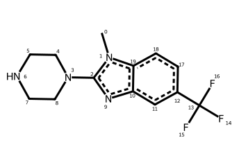 Cn1c(N2CCNCC2)nc2cc(C(F)(F)F)ccc21